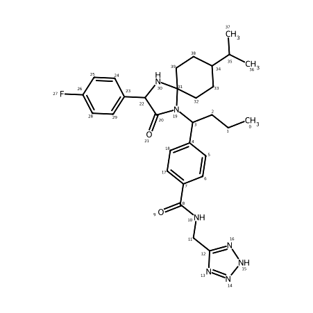 CCCC(c1ccc(C(=O)NCc2nn[nH]n2)cc1)N1C(=O)C(c2ccc(F)cc2)NC12CCC(C(C)C)CC2